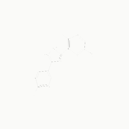 Cc1ccc(N)cc1-c1nc(-c2ccc(F)cc2)n[nH]1